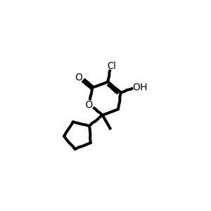 CC1(C2CCCC2)CC(O)=C(Cl)C(=O)O1